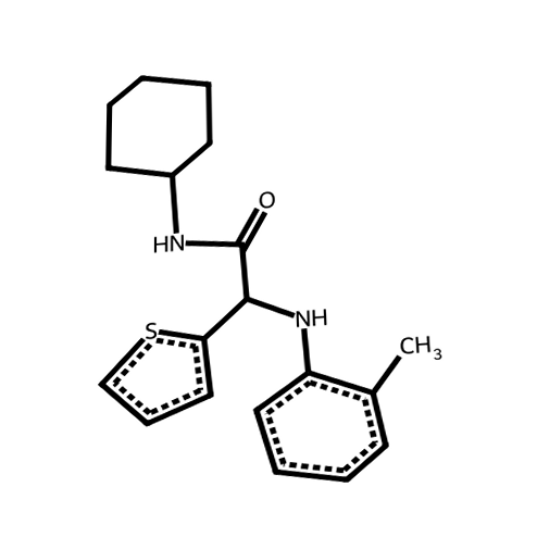 Cc1ccccc1NC(C(=O)NC1CCCCC1)c1cccs1